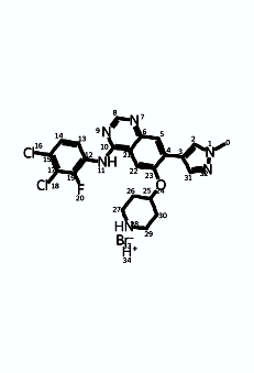 Cn1cc(-c2cc3ncnc(Nc4ccc(Cl)c(Cl)c4F)c3cc2OC2CCNCC2)cn1.[Br-].[H+]